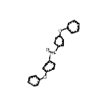 O=[PH](Oc1ccc(Oc2ccccc2)cc1)c1ccc(Oc2ccccc2)cc1